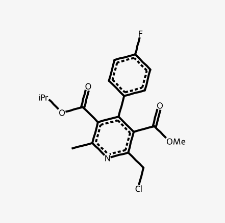 COC(=O)c1c(CCl)nc(C)c(C(=O)OC(C)C)c1-c1ccc(F)cc1